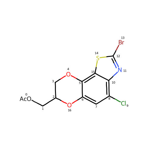 CC(=O)OCC1COc2c(cc(Cl)c3nc(Br)sc23)O1